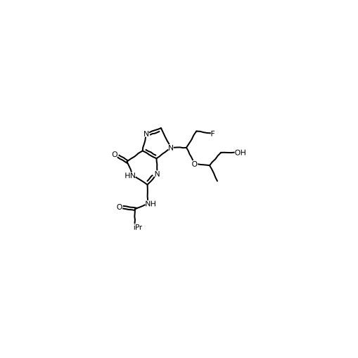 CC(CO)OC(CF)n1cnc2c(=O)[nH]c(NC(=O)C(C)C)nc21